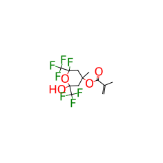 C=C(C)C(=O)OC1(C)CC(O)(C(F)(F)F)OC(F)(C(F)(F)F)C1